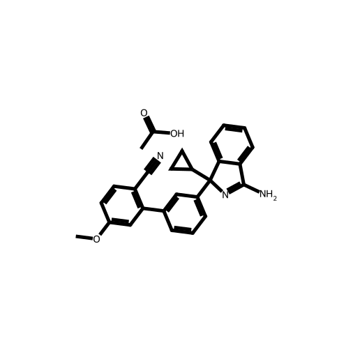 CC(=O)O.COc1ccc(C#N)c(-c2cccc(C3(C4CC4)N=C(N)c4ccccc43)c2)c1